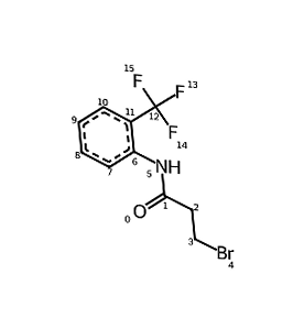 O=C(CCBr)Nc1ccccc1C(F)(F)F